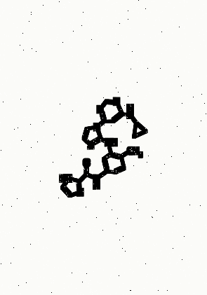 Cc1ccc(NC(=O)c2ncc[nH]2)cc1Nc1nccn1-c1cc(NC2CC2)ncn1